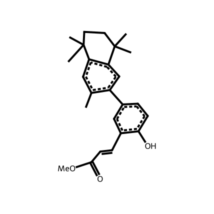 COC(=O)C=Cc1cc(-c2cc3c(cc2C)C(C)(C)CCC3(C)C)ccc1O